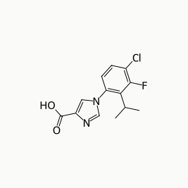 CC(C)c1c(-n2cnc(C(=O)O)c2)ccc(Cl)c1F